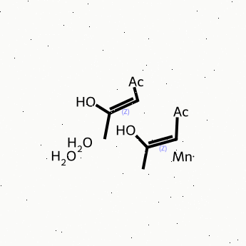 CC(=O)/C=C(/C)O.CC(=O)/C=C(/C)O.O.O.[Mn]